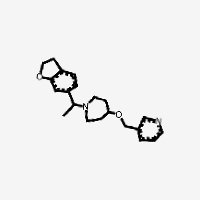 CC(c1ccc2c(c1)OCC2)N1CCC(OCc2cccnc2)CC1